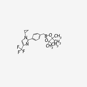 CC1(C)OB(Cc2ccc(-c3nc(C(F)(F)F)cn3C3CC3)cc2)OC1(C)C